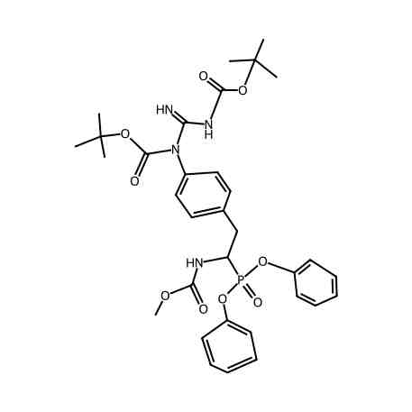 COC(=O)NC(Cc1ccc(N(C(=N)NC(=O)OC(C)(C)C)C(=O)OC(C)(C)C)cc1)P(=O)(Oc1ccccc1)Oc1ccccc1